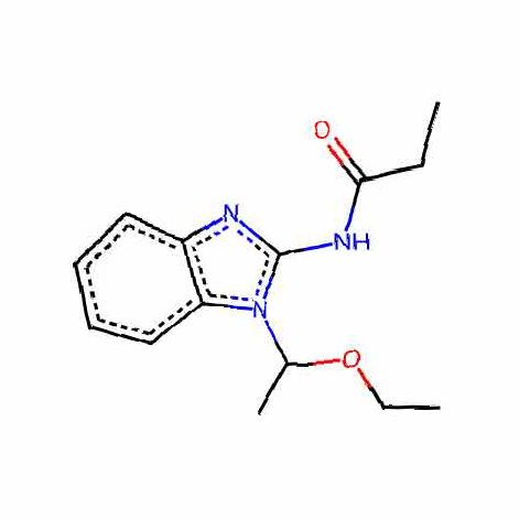 CCOC(C)n1c(NC(=O)CC)nc2ccccc21